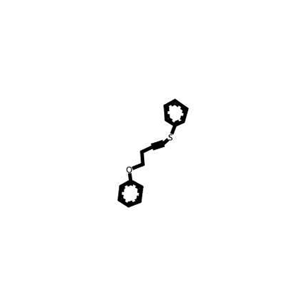 C(#CSc1ccccc1)CCOc1ccccc1